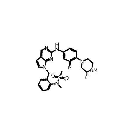 C[C@H]1CN(c2ccc(Nc3ncc4ccn(Cc5ccccc5N(C)S(C)(=O)=O)c4n3)cc2F)CCN1